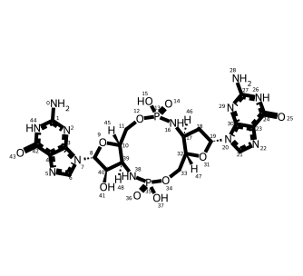 Nc1nc2c(ncn2[C@@H]2O[C@@H]3COP(=O)(O)N[C@H]4C[C@H](n5cnc6c(=O)[nH]c(N)nc65)O[C@@H]4COP(=O)(O)N[C@H]3[C@H]2O)c(=O)[nH]1